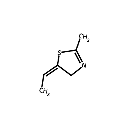 C/C=C1\CN=C(C)S1